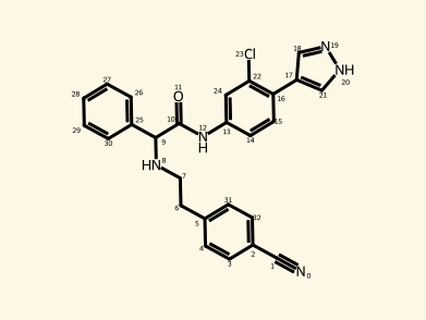 N#Cc1ccc(CCNC(C(=O)Nc2ccc(-c3cn[nH]c3)c(Cl)c2)c2ccccc2)cc1